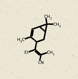 CCC(=C(C)C#N)C1CC2C(C=C1C)C2(C)C